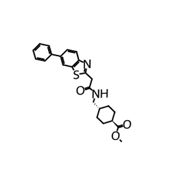 COC(=O)[C@H]1CC[C@H](CNC(=O)Cc2nc3ccc(-c4ccccc4)cc3s2)CC1